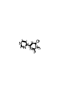 Cc1nc(-c2ccncn2)cc(=O)n1C